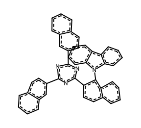 c1ccc2cc(-c3nc(-c4ccc5ccccc5c4)nc(-c4ccc5ccccc5c4-n4c5ccccc5c5ccccc54)n3)ccc2c1